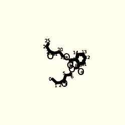 CCC1OC1CCOC(=O)c1ccccc1C(=O)OCCC1OC1CC